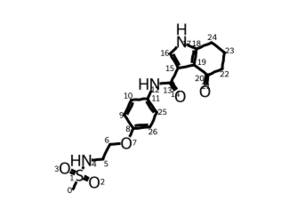 CS(=O)(=O)NCCOc1ccc(NC(=O)c2c[nH]c3c2C(=O)CCC3)cc1